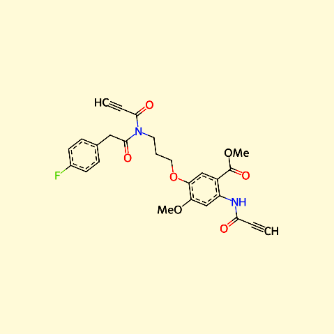 C#CC(=O)Nc1cc(OC)c(OCCCN(C(=O)C#C)C(=O)Cc2ccc(F)cc2)cc1C(=O)OC